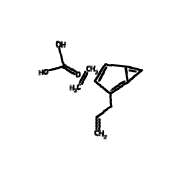 C=C.C=CCc1ccc2cc1-2.O=C(O)O